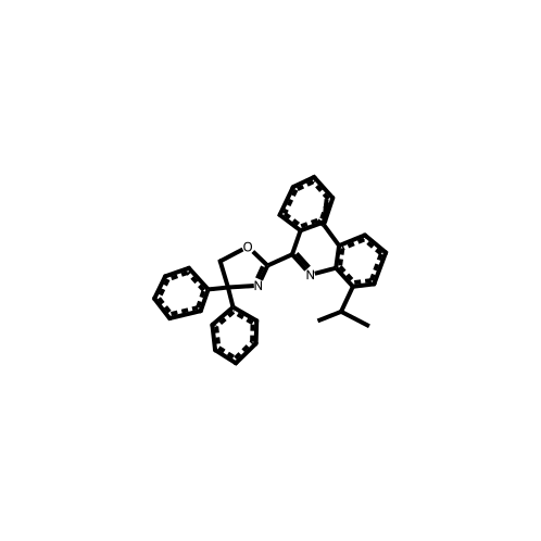 CC(C)c1cccc(C(C)C)c1/N=C(/C1=NC(c2ccccc2)(c2ccccc2)CO1)c1ccccc1